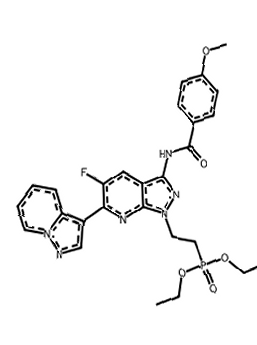 CCOP(=O)(CCn1nc(NC(=O)c2ccc(OC)cc2)c2cc(F)c(-c3cnn4ccccc34)nc21)OCC